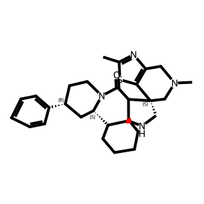 Cc1nc2c(s1)[C@@]1(CNCC1C(=O)N1CC[C@@H](c3ccccc3)C[C@H]1C1CCCCC1)CN(C)C2